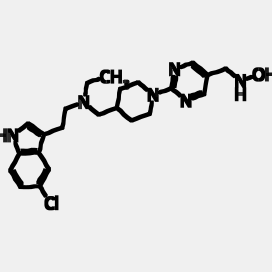 CCN(CCc1c[nH]c2ccc(Cl)cc12)CC1CCN(c2ncc(CNO)cn2)CC1